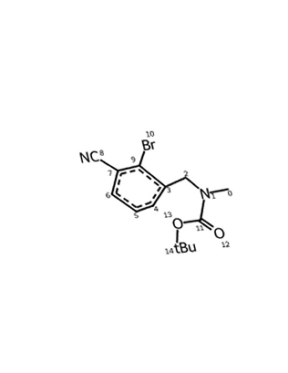 CN(Cc1cccc(C#N)c1Br)C(=O)OC(C)(C)C